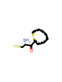 N[C@@H](CS)C(=O)c1cccccccs1